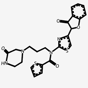 O=C1CN(CCCN(C(=O)c2cccs2)c2nc(C3Oc4ccccc4C3=O)cs2)CCN1